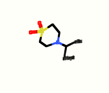 CCCCCCCC(CCCC)N1CCS(=O)(=O)CC1